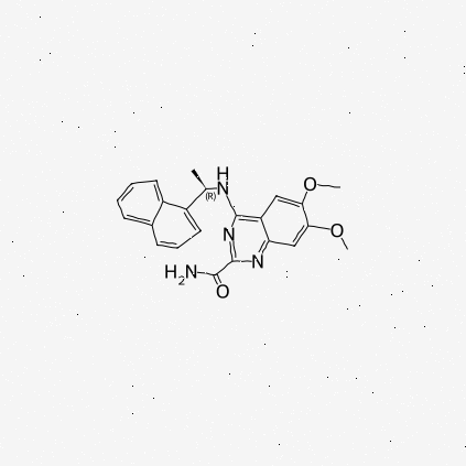 COc1cc2nc(C(N)=O)nc(N[C@H](C)c3cccc4ccccc34)c2cc1OC